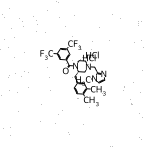 Cc1ccc(C[C@@H]2CN(Cc3nccn3C)CCN2C(=O)c2cc(C(F)(F)F)cc(C(F)(F)F)c2)cc1C.Cl.Cl